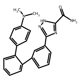 CN(C)c1ccc(-c2ccccc2-c2cccc(-c3n[nH]c(C(N)=O)n3)c2)cc1